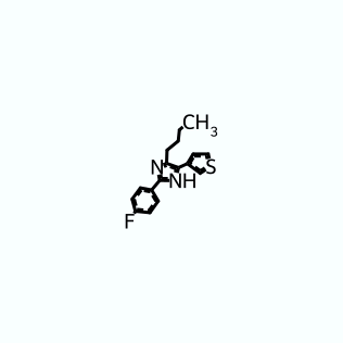 CCCCc1nc(-c2ccc(F)cc2)[nH]c1-c1ccsc1